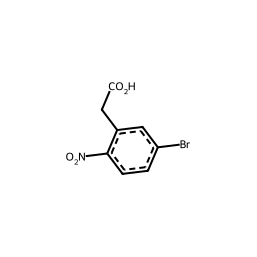 O=C(O)Cc1cc(Br)ccc1[N+](=O)[O-]